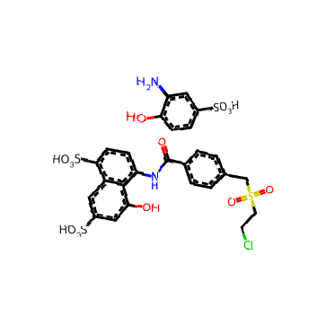 Nc1cc(S(=O)(=O)O)ccc1O.O=C(Nc1ccc(S(=O)(=O)O)c2cc(S(=O)(=O)O)cc(O)c12)c1ccc(CS(=O)(=O)CCCl)cc1